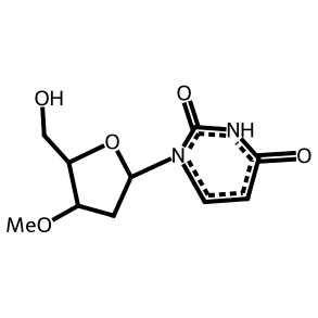 COC1CC(n2ccc(=O)[nH]c2=O)OC1CO